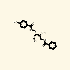 CCO[C@H](CNC(=O)c1ccc(C#N)cc1)[C@@H](O)CNC(=O)c1ccccc1